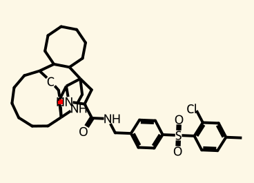 Cc1ccc(S(=O)(=O)c2ccc(CNC(=O)C3CC45CNC6(CCCCCCC(CCC6)C6CCCCCCC64)CC5N3)cc2)c(Cl)c1